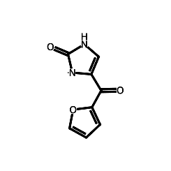 O=C1[N]C(C(=O)c2ccco2)=CN1